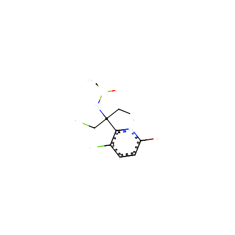 CC(C)(C)[S@@+]([O-])NC(CF)(CC=O)c1nc(Br)ccc1F